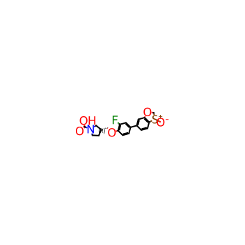 O=C(O)N1CC[C@@H](COc2ccc(-c3ccc4c(c3)OC[S+]4[O-])cc2F)C1